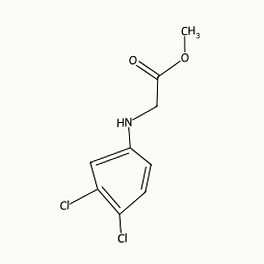 COC(=O)CNc1ccc(Cl)c(Cl)c1